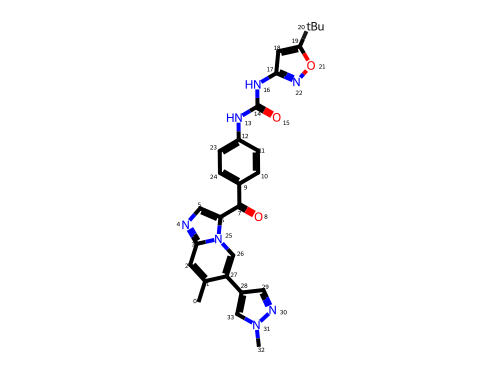 Cc1cc2ncc(C(=O)c3ccc(NC(=O)Nc4cc(C(C)(C)C)on4)cc3)n2cc1-c1cnn(C)c1